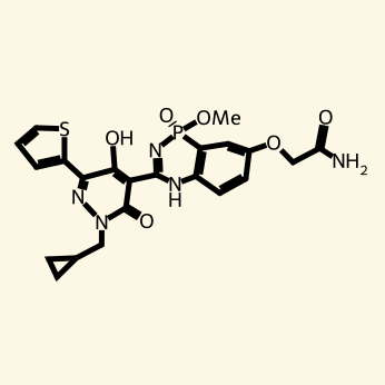 COP1(=O)N=C(c2c(O)c(-c3cccs3)nn(CC3CC3)c2=O)Nc2ccc(OCC(N)=O)cc21